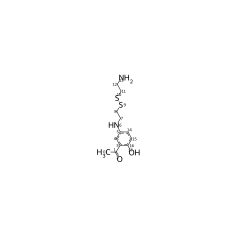 CC(=O)c1cc(NCCSSCCN)ccc1O